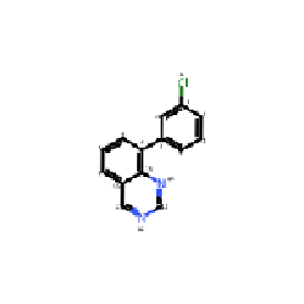 Clc1cccc(-c2cccc3cncnc23)c1